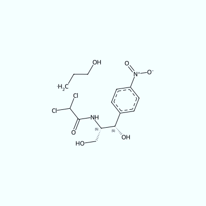 O=C(N[C@@H](CO)[C@@H](O)c1ccc([N+](=O)[O-])cc1)C(Cl)Cl.[CH2]CCO